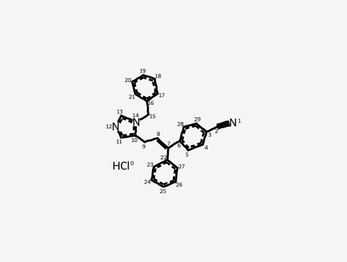 Cl.N#Cc1ccc(C(=CCc2cncn2Cc2ccccc2)c2ccccc2)cc1